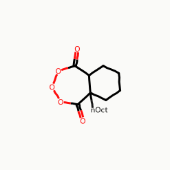 CCCCCCCCC12CCCCC1C(=O)OOOC2=O